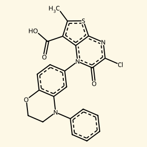 Cc1sc2nc(Cl)c(=O)n(-c3ccc4c(c3)N(c3ccccc3)CCO4)c2c1C(=O)O